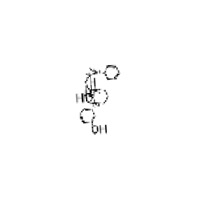 Oc1cccc([C@@]23CCC[C@@H]([C@H]2O)N(C[C@H]2C[C@@H]2c2ccccc2)CC3)c1